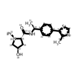 Cc1ncsc1-c1ccc([C@H](C)NC(=O)[C@@H]2C[C@@H](O)CN2C(C)C)cc1